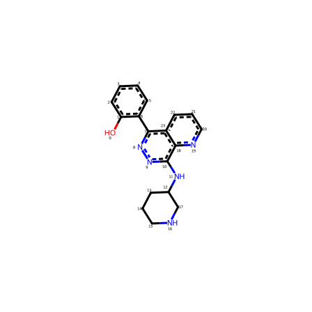 Oc1ccccc1-c1nnc(NC2CCCNC2)c2ncccc12